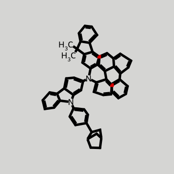 CC1(C)c2ccccc2-c2ccc(N(c3ccc4c5ccccc5n(-c5ccc(C6CC7CCC6C7)cc5)c4c3)c3ccccc3-c3cccc4cccc(-c5ccccc5)c34)cc21